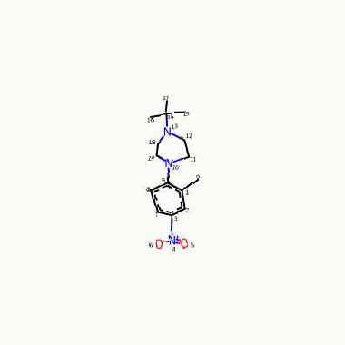 Cc1cc([N+](=O)[O-])ccc1N1CCN(C(C)(C)C)CC1